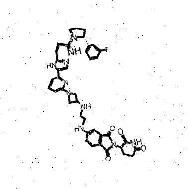 N=C(/C=C\c1ncc(-c2cccc(N3CC(NCCNc4ccc5c(c4)C(=O)N(C4CCC(=O)NC4=O)C5=O)C3)n2)[nH]1)N1CCC[C@@H]1c1cccc(F)c1